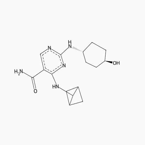 NC(=O)c1cnc(N[C@H]2CC[C@H](O)CC2)nc1NC1C2CC1C2